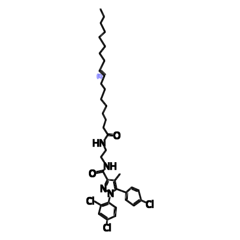 CCCCCCCC/C=C/CCCCCCCC(=O)NCCNC(=O)c1nn(-c2ccc(Cl)cc2Cl)c(-c2ccc(Cl)cc2)c1C